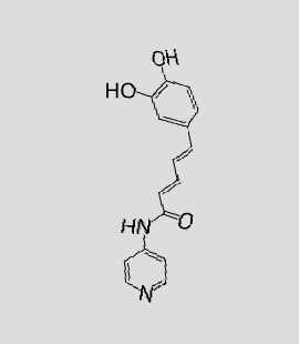 O=C(/C=C/C=C/c1ccc(O)c(O)c1)Nc1ccncc1